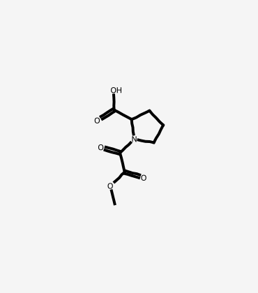 COC(=O)C(=O)N1CCCC1C(=O)O